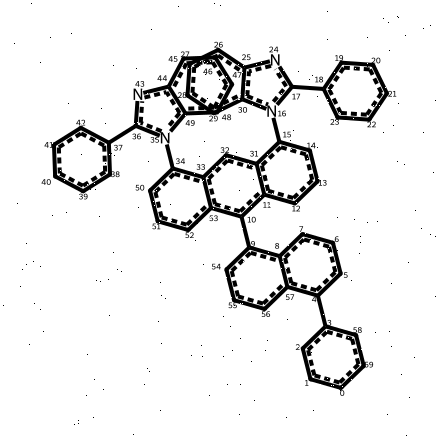 c1ccc(-c2cccc3c(-c4c5cccc(-n6c(-c7ccccc7)nc7ccccc76)c5cc5c(-n6c(-c7ccccc7)nc7ccccc76)cccc45)cccc23)cc1